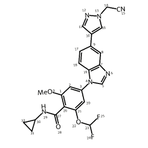 COc1cc(-n2cnc3cc(-c4cnn(CC#N)c4)ccc32)cc(OC(F)F)c1C(=O)NC1CC1